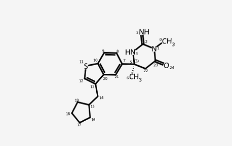 CN1C(=N)N[C@](C)(c2ccc3scc(CC4CCCC4)c3c2)CC1=O